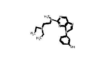 CCN(CC)CCN(C)c1ncc2ncn(-c3cccc(O)c3)c2n1